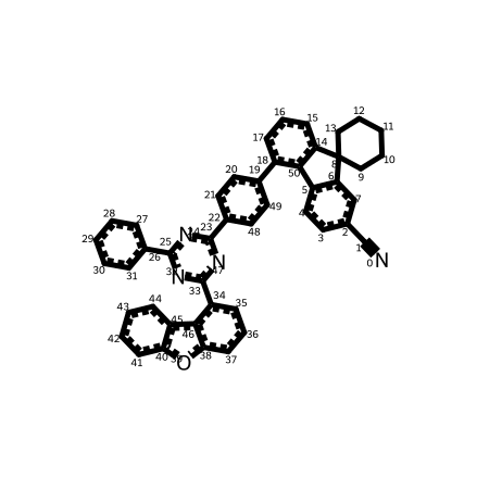 N#Cc1ccc2c(c1)C1(CCCCC1)c1cccc(-c3ccc(-c4nc(-c5ccccc5)nc(-c5cccc6oc7ccccc7c56)n4)cc3)c1-2